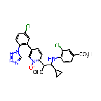 O=CC(c1ccc(-c2cc(Cl)ccc2-n2cnnn2)c[n+]1[O-])C(Nc1ccc(C(=O)O)cc1Cl)C1CC1